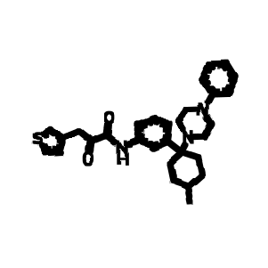 CC1CCC(c2cccc(NC(=O)C(=O)Cc3ccsc3)c2)(N2CCN(c3ccccc3)CC2)CC1